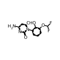 Nc1ccn(-c2cccc(OC(F)F)c2C=O)c(=O)n1